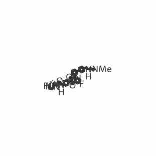 CNCCNCc1ccc(-c2cccc(-n3c(=O)n(C4CCC(NC(=O)C5=C[N+]6CN(F)C=CC6=N5)CC4)c(=O)c4cc(F)cnc43)c2)cc1